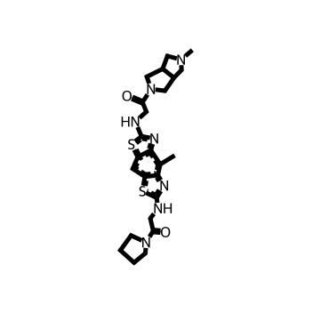 Cc1c2nc(NCC(=O)N3CCCC3)sc2cc2sc(NCC(=O)N3CC4CN(C)CC4C3)nc12